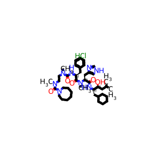 CC(C)C[C@H](O)[C@H](CC1CCCCC1)NC(=O)[C@H](Cc1c[nH]cn1)N(C)C(=O)[C@H](Cc1ccccc1)NC(=O)N(C)CCN(C)C(=O)N1CCCCCCC1.Cl